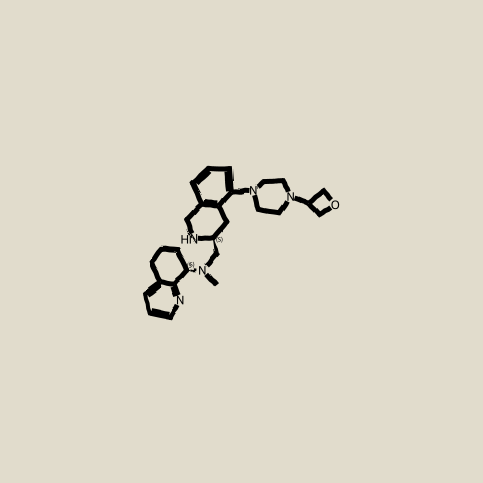 CN(C[C@@H]1Cc2c(cccc2N2CCN(C3COC3)CC2)CN1)[C@H]1CCCc2cccnc21